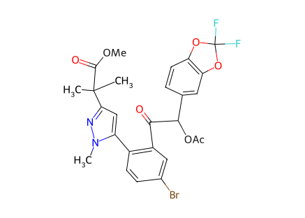 COC(=O)C(C)(C)c1cc(-c2ccc(Br)cc2C(=O)C(OC(C)=O)c2ccc3c(c2)OC(F)(F)O3)n(C)n1